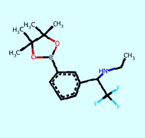 CCNC(c1cccc(B2OC(C)(C)C(C)(C)O2)c1)C(F)(F)F